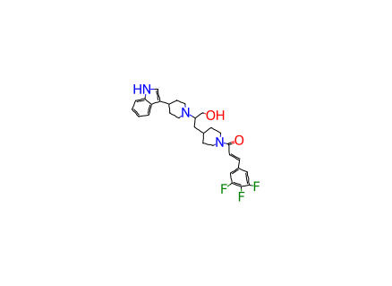 O=C(/C=C/c1cc(F)c(F)c(F)c1)N1CCC(CC(CO)N2CCC(c3c[nH]c4ccccc34)CC2)CC1